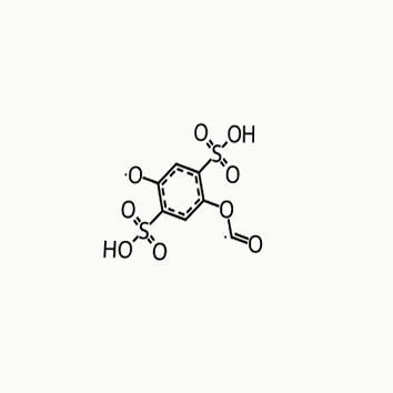 [O]c1cc(S(=O)(=O)O)c(O[C]=O)cc1S(=O)(=O)O